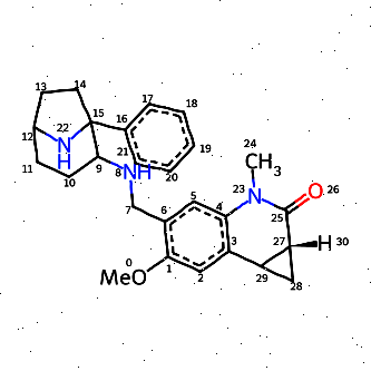 COc1cc2c(cc1CNC1CCC3CCC1(c1ccccc1)N3)N(C)C(=O)[C@@H]1CC21